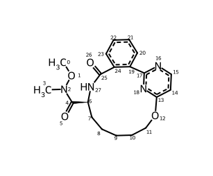 CON(C)C(=O)[C@@H]1CCCCCOc2ccnc(n2)-c2ccccc2C(=O)N1